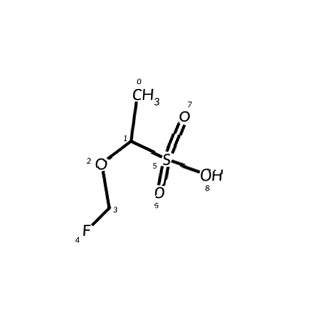 CC(OCF)S(=O)(=O)O